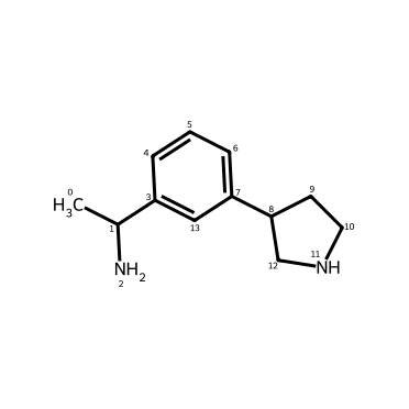 CC(N)c1cccc(C2CCNC2)c1